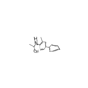 Cc1cc(-c2ccccc2)ccc1NC(C)O